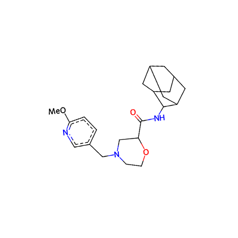 COc1ccc(CN2CCOC(C(=O)NC3C4CC5CC(C4)CC3C5)C2)cn1